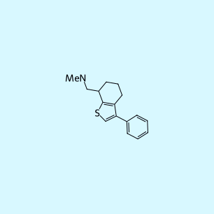 CNCC1CCCc2c(-c3ccccc3)csc21